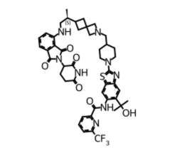 C[C@H](CNc1cccc2c1C(=O)N(C1CCC(=O)NC1=O)C2=O)C1CC2(C1)CN(CC1CCN(c3nc4cc(C(C)(C)O)c(NC(=O)c5cccc(C(F)(F)F)n5)cc4s3)CC1)C2